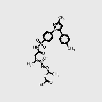 CCC(=O)OC(C)O/N=[N+](\[O-])N(C)CC(=O)NS(=O)(=O)c1ccc(-n2nc(C(F)(F)F)cc2-c2ccc(C)cc2)cc1